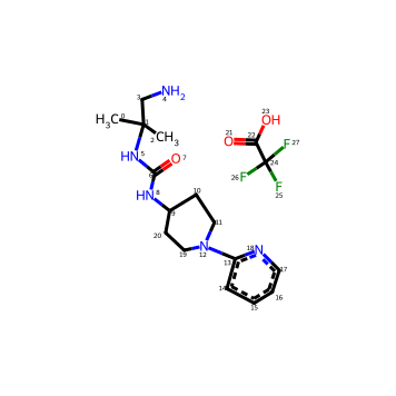 CC(C)(CN)NC(=O)NC1CCN(c2ccccn2)CC1.O=C(O)C(F)(F)F